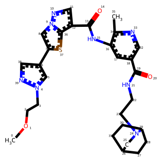 COCCn1cc(-c2cn3ncc(C(=O)Nc4cc(C(=O)NCCN5CC6CCC5CC6)cnc4C)c3s2)cn1